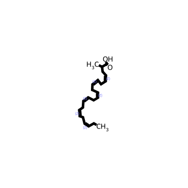 CC/C=C\C/C=C\C/C=C\C/C=C\C/C=C\C/C=C\CC(C)C(=O)O